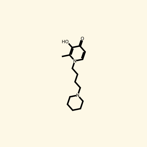 Cc1c(O)c(=O)ccn1CCCCN1CCCCC1